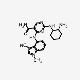 Cn1cc(C#N)c2c(Nc3nc(N[C@@H]4CCCC[C@@H]4N)ncc3C(N)=O)cccc21